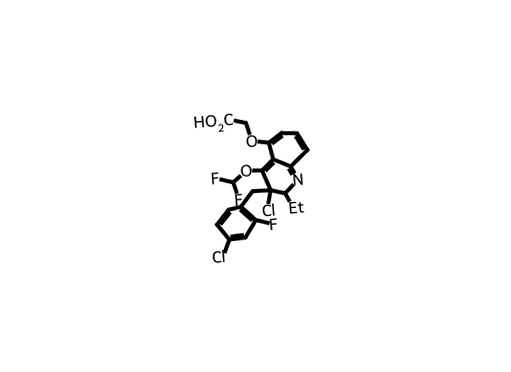 CCC1N=c2cccc(OCC(=O)O)c2=C(OC(F)F)C1(Cl)Cc1ccc(Cl)cc1F